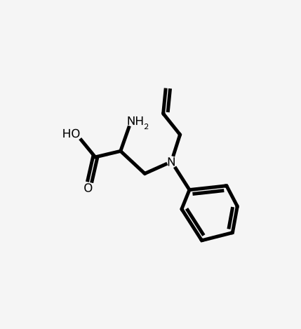 C=CCN(CC(N)C(=O)O)c1ccccc1